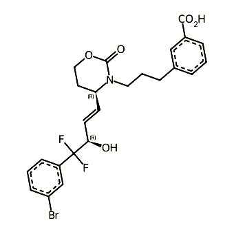 O=C(O)c1cccc(CCCN2C(=O)OCC[C@@H]2C=C[C@@H](O)C(F)(F)c2cccc(Br)c2)c1